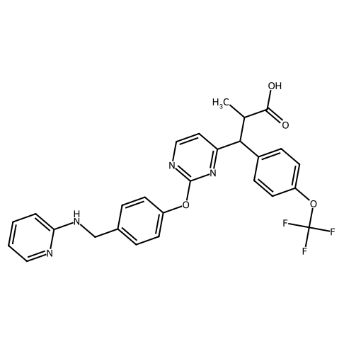 CC(C(=O)O)C(c1ccc(OC(F)(F)F)cc1)c1ccnc(Oc2ccc(CNc3ccccn3)cc2)n1